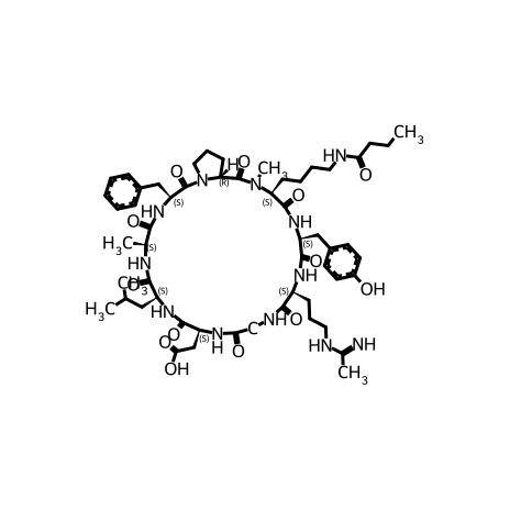 CCCC(=O)NCCCC[C@H]1C(=O)N[C@@H](Cc2ccc(O)cc2)C(=O)N[C@@H](CCCNC(C)=N)C(=O)NCC(=O)N[C@@H](CC(=O)O)C(=O)N[C@@H](CC(C)C)C(=O)N[C@@H](C)C(=O)N[C@@H](Cc2ccccc2)C(=O)N2CCC[C@@H]2C(=O)N1C